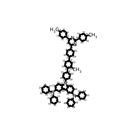 Cc1ccc(-c2cc(-c3ccc(-c4ccc(-c5ccc(-n6c7ccc(N(c8ccccc8)c8ccccc8)cc7c7cc(N(c8ccccc8)c8ccccc8)ccc76)cc5)c(C)c4)cc3)nc(-c3ccc(C)cc3)n2)cc1